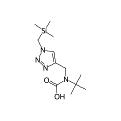 CC(C)(C)N(Cc1cn(C[Si](C)(C)C)nn1)C(=O)O